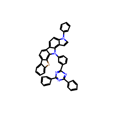 c1ccc(-c2nc(-c3ccccc3)nc(-c3cccc(-n4c5c(ccc6c5ccn6-c5ccccc5)c5ccc6c7ccccc7sc6c54)c3)n2)cc1